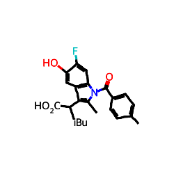 CCC(C)C(C(=O)O)c1c(C)n(C(=O)c2ccc(C)cc2)c2cc(F)c(O)cc12